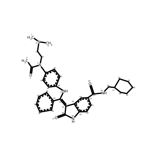 CC(=O)N(CCN(C)C)c1ccc(NC(=C2C(=O)Nc3ccc(C(=O)NCC4CCCCC4)cc32)c2ccccc2)cc1